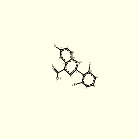 O=C(O)c1cc(-c2c(F)cccc2F)nc2ccc(F)cc12